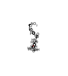 O=C(NC[C@H]1CN(c2ccc(N3CCN(Cc4ccc([N+](=O)[O-])o4)CC3)c(F)c2)C(=O)O1)Nc1ccc(CC(O)([PH](=O)O)P(=O)(O)O)cc1